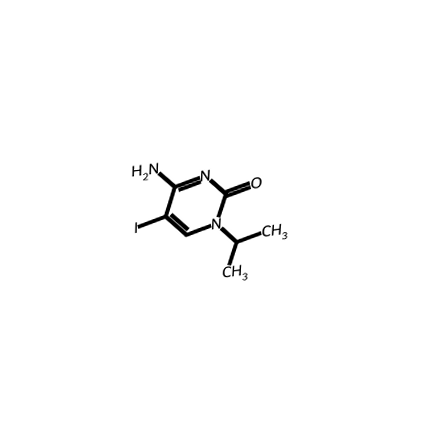 CC(C)n1cc(I)c(N)nc1=O